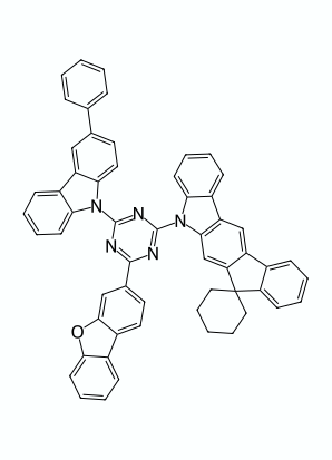 c1ccc(-c2ccc3c(c2)c2ccccc2n3-c2nc(-c3ccc4c(c3)oc3ccccc34)nc(-n3c4ccccc4c4cc5c(cc43)C3(CCCCC3)c3ccccc3-5)n2)cc1